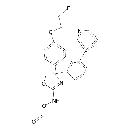 O=CONC1=NC(c2ccc(OCCF)cc2)(c2cccc(-c3cccnc3)c2)CO1